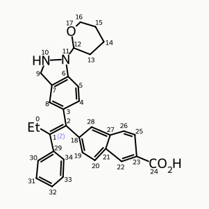 CC/C(=C(\c1ccc2c(c1)CNN2C1CCCCO1)c1ccc2cc(C(=O)O)ccc2c1)c1ccccc1